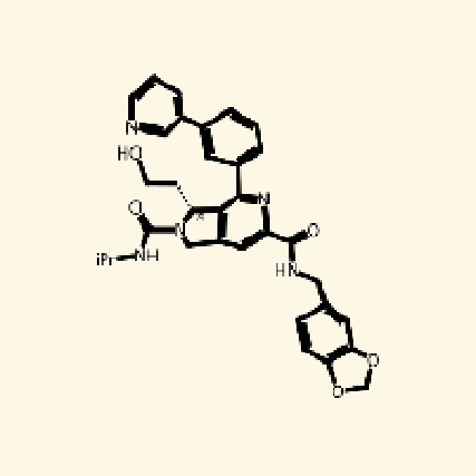 CC(C)NC(=O)N1Cc2cc(C(=O)NCc3ccc4c(c3)OCO4)nc(-c3cccc(-c4cccnc4)c3)c2[C@H]1CCO